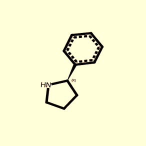 c1ccc([C@H]2CCCN2)cc1